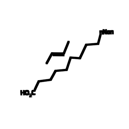 CC=CC.CCCCCCCCCCCCCCCCCC(=O)O